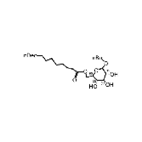 CCCCCCCCCCCCCCCCCC(=O)OC[C@H]1OC(OCCCC)[C@H](O)[C@@H](O)[C@@H]1O